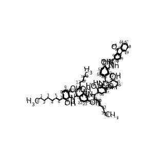 CCCCCCCc1ccc(O)c(NC(CCCCCC)c2ccc(O)c(NC(CCCCCC)c3ccc(O)c(NC(CCCCCC)c4ccc(O)c(NNc5ccc6c(c5)C(=O)c5ccccc5-6)c4O)c3O)c2O)c1O